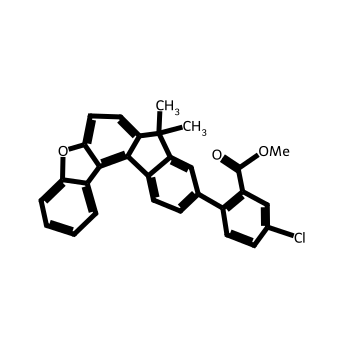 COC(=O)c1cc(Cl)ccc1-c1ccc2c(c1)C(C)(C)c1ccc3oc4ccccc4c3c1-2